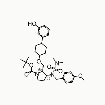 COc1ccc(CN([C@H]2CCN(C(=O)OC(C)(C)C)[C@H]2COC2CCC(c3cccc(O)c3)CC2)S(=O)(=O)N(C)C)cc1